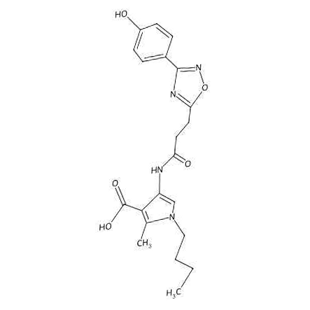 CCCCn1cc(NC(=O)CCc2nc(-c3ccc(O)cc3)no2)c(C(=O)O)c1C